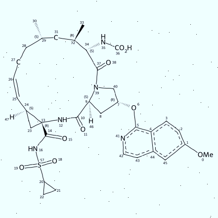 COc1ccc2c(O[C@@H]3C[C@H]4C(=O)N[C@]5(C(=O)NS(=O)(=O)C6CC6)C[C@H]5C=CCC[C@H](C)C[C@@H](C)[C@H](NC(=O)O)C(=O)N4C3)nccc2c1